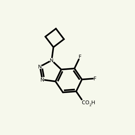 O=C(O)c1cc2nnn(C3CCC3)c2c(F)c1F